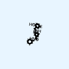 O=C(NCC1CCCCCC1)c1ccc2[nH]c(Cc3cc(F)ccc3O)nc2c1